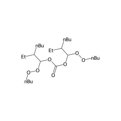 CCCCOOC(OC(=O)OC(OOCCCC)C(CC)CCCC)C(CC)CCCC